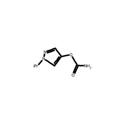 CC(C)n1cc(OC(N)=O)cn1